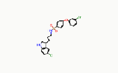 O=S(=O)(NCCCC1CNc2ccc(Cl)cc21)c1ccc(Oc2cccc(Br)c2)cc1